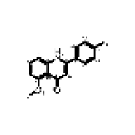 COc1cccc2[nH]c(-c3ccc(C)cc3)cc(=O)c12